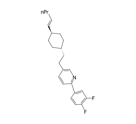 CCCC=C[C@H]1CC[C@H](CCc2ccc(-c3ccc(F)c(F)c3)nc2)CC1